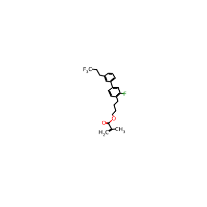 C=C(C)C(=O)OCCCCc1ccc(-c2cccc(CCC(F)(F)F)c2)cc1F